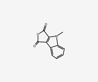 Cn1c2c(c3ccccc31)C(=O)OC2=O